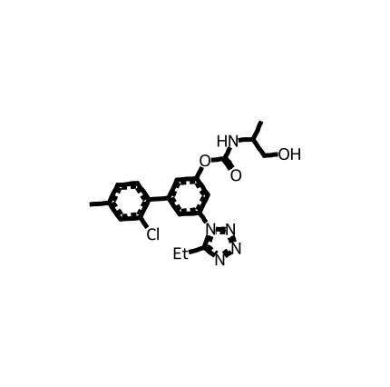 CCc1nnnn1-c1cc(OC(=O)NC(C)CO)cc(-c2ccc(C)cc2Cl)c1